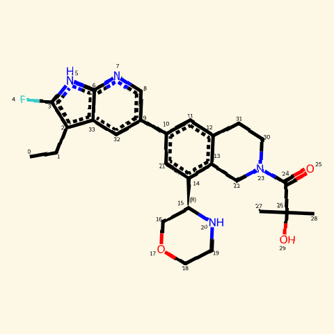 CCc1c(F)[nH]c2ncc(-c3cc4c(c([C@@H]5COCCN5)c3)CN(C(=O)C(C)(C)O)CC4)cc12